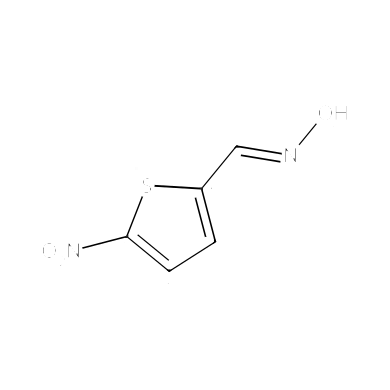 O=[N+]([O-])c1ccc(C=NO)s1